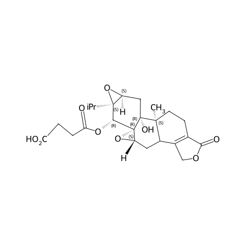 CC(C)[C@]12O[C@H]1C[C@]1(O)[C@]3(O[C@H]3CC3C4=C(CC[C@@]31C)C(=O)OC4)[C@@H]2OC(=O)CCC(=O)O